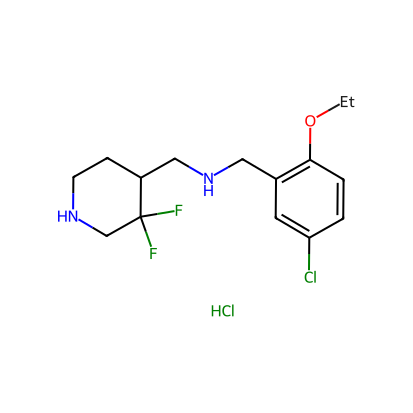 CCOc1ccc(Cl)cc1CNCC1CCNCC1(F)F.Cl